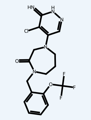 N=c1[nH]ncc(N2CCCN(Cc3ccccc3OC(F)(F)F)C(=O)C2)c1Cl